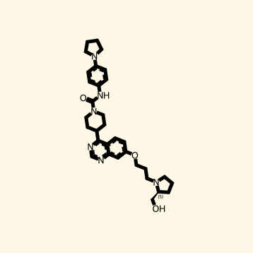 O=C(Nc1ccc(N2CCCC2)cc1)N1CCC(c2ncnc3cc(OCCCN4CCC[C@H]4CO)ccc23)CC1